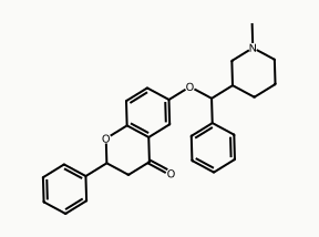 CN1CCCC(C(Oc2ccc3c(c2)C(=O)CC(c2ccccc2)O3)c2ccccc2)C1